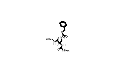 CCCCCCNC(=O)[C@@](C)(CNC(=O)OCc1ccccc1)NC(=O)CCCCCC